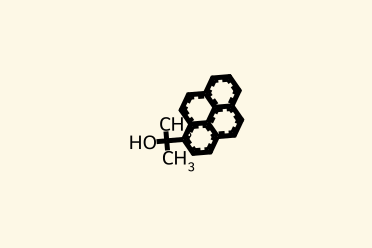 CC(C)(O)c1ccc2ccc3cccc4ccc1c2c34